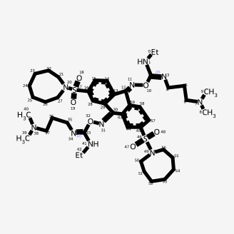 CCN/C(=N/CCCN(C)C)ON=C1c2ccc(S(=O)(=O)N3CCCCCCC3)cc2C(=NO/C(=N\CCCN(C)C)NCC)c2cc(S(=O)(=O)N3CCCCCCC3)ccc21